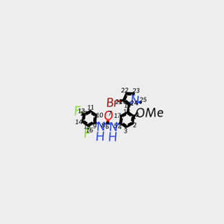 COc1ccc(NC(=O)Nc2ccc(F)cc2F)cc1-c1c(Br)ccn1C